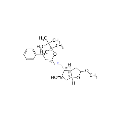 COC1C[C@@H]2[C@@H](/C=C/[C@H](CCc3ccccc3)O[Si](C)(C)C(C)(C)C)[C@H](O)C[C@@H]2O1